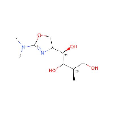 C[C@H](CO)C(O)[C@H](O)C1COC(N(C)C)=N1